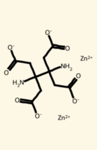 NC(CC(=O)[O-])(CC(=O)[O-])C(N)(CC(=O)[O-])CC(=O)[O-].[Zn+2].[Zn+2]